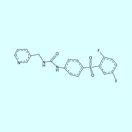 O=C(NCc1cccnc1)Nc1ccc(S(=O)(=O)c2cc(F)ccc2F)cc1